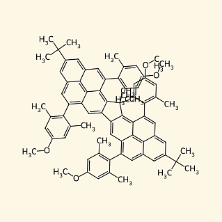 COc1cc(C)c(-c2cc3cc(C(C)(C)C)cc4cc(-c5c(C)cc(OC)cc5C)c5c6c(cc2c5c34)-c2cc3c(-c4c(C)cc(OC)cc4C)cc4cc(C(C)(C)C)cc5cc(-c7c(C)cc(OC)cc7C)c(c2C6(C)C)c3c45)c(C)c1